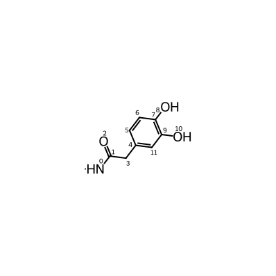 [NH]C(=O)Cc1ccc(O)c(O)c1